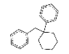 [CH]1CCC(Cc2ccccc2)(c2ccccc2)CC1